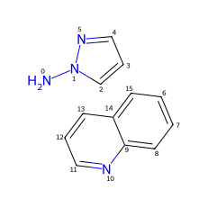 Nn1cccn1.c1ccc2ncccc2c1